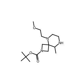 COCCN1CCNC(C)C12CN(C(=O)OC(C)(C)C)C2